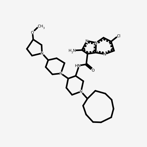 COC1CCN(C2CCN(C3CCN(C4CCCCCCCCC4)CC3NC(=O)c3c(N)nn4cc(Cl)cnc34)CC2)C1